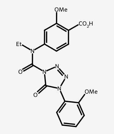 CCN(C(=O)n1nnn(-c2ccccc2OC)c1=O)c1ccc(C(=O)O)c(OC)c1